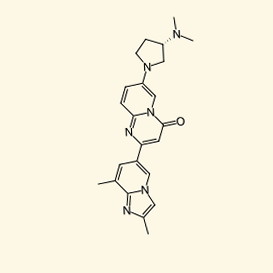 Cc1cn2cc(-c3cc(=O)n4cc(N5CC[C@H](N(C)C)C5)ccc4n3)cc(C)c2n1